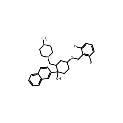 CN1CCN(CC2CC(OCc3c(F)cccc3F)CCC2(O)c2ccc3ccccc3c2)CC1